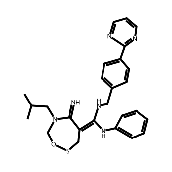 CC(C)CN1COSC/C(=C(/NCc2ccc(-c3ncccn3)cc2)Nc2ccccc2)C1=N